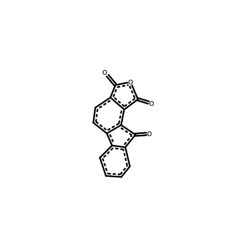 O=c1oc(=O)c2c1ccc1c3ccccc3c(=O)c12